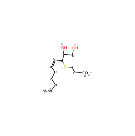 CCCCCCCCCCCC/C=C\C(SCCC(=O)O)C(O)CO